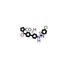 O=C(O)[C@H]1CCC[C@@H]1C(=O)c1ccc(-c2ccc(Nc3nc4ccc(Cl)cc4s3)cc2)cc1